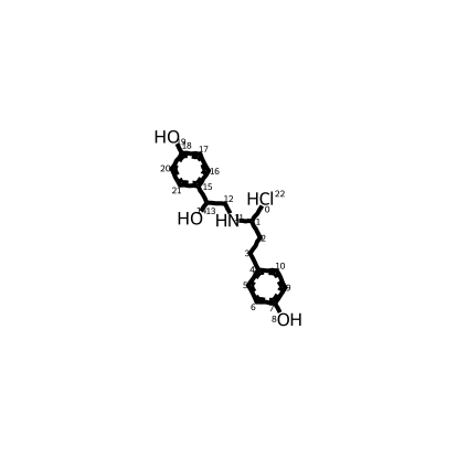 CC(CCc1ccc(O)cc1)NCC(O)c1ccc(O)cc1.Cl